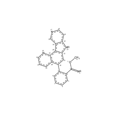 COC(=N)c1ccccc1-c1cc2[nH]c3ccncc3c2c2ncccc12